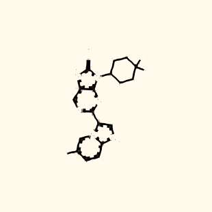 CC1(O)CCC(n2c(=O)[nH]c3cnc(-c4cnc5ccc(F)cn45)nc32)CC1